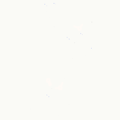 CCN(C(=O)OC1CCc2c(sc3ncnc(Nc4cc5cn[nH]c5cc4OC)c23)C1)C(C)C